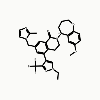 CCn1cc(-c2cc(Cn3ccnc3C)cc3c2CCN([C@H]2CCCOc4ccc(OC)cc42)C3=O)c(C(F)(F)F)n1